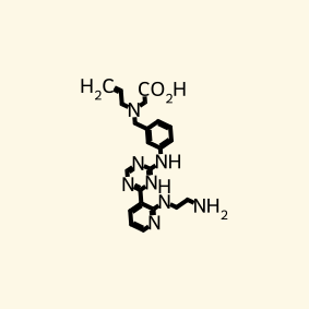 C=CCN(CC(=O)O)Cc1cccc(Nc2ncnc(-c3cccnc3NCCN)n2)c1